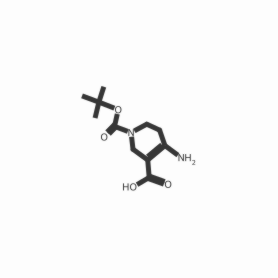 CC(C)(C)OC(=O)N1CCC(N)=C(C(=O)O)C1